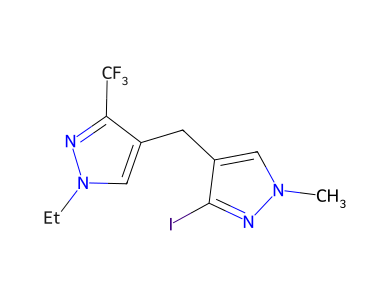 CCn1cc(Cc2cn(C)nc2I)c(C(F)(F)F)n1